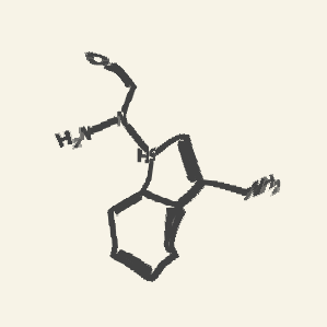 NC1=C[SH](N(N)C=O)c2ccccc21